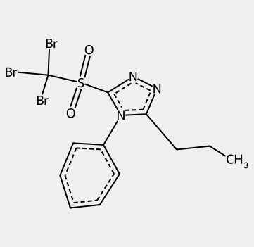 CCCc1nnc(S(=O)(=O)C(Br)(Br)Br)n1-c1ccccc1